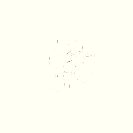 Cc1ccc(F)cc1[C@@H]1NC(=O)C[C@H](c2cc(F)ccc2OC(C)(C)C(=O)O)[C@@]12C(=O)Nc1cc(Cl)ccc12